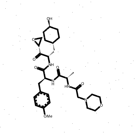 COc1ccc(C[C@H](NC(=O)[C@H](C)NC(=O)CN2CCOCC2)C(=O)N[C@@H](C[C@H]2CC[C@H](O)CC2)C(=O)[C@H]2CO2)cc1